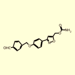 NC(=O)OCc1cc(-c2ccc(OCc3ccc(C=O)cc3)cc2)no1